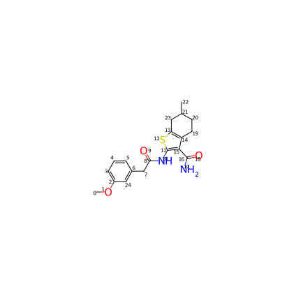 COc1cccc(CC(=O)Nc2sc3c(c2C(N)=O)CCC(C)C3)c1